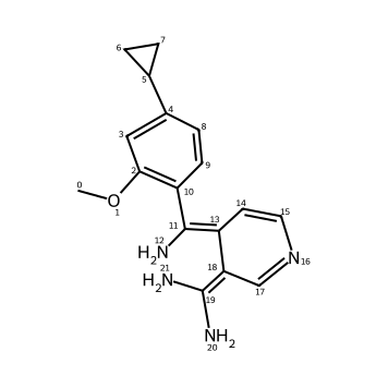 COc1cc(C2CC2)ccc1/C(N)=c1\ccncc1=C(N)N